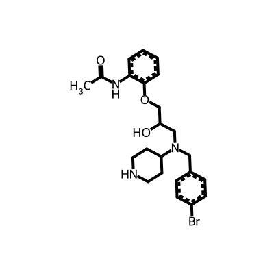 CC(=O)Nc1ccccc1OCC(O)CN(Cc1ccc(Br)cc1)C1CCNCC1